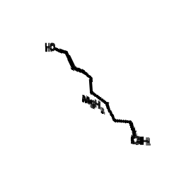 OCCCCCCCO.[MgH2]